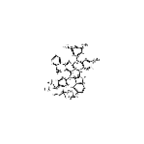 Cc1ccccc1-c1cc2c3c(c1)N(c1ccc4c(c1)C(C)(C)CCC4(C)C)c1c(sc4ccc(C(C)(C)C)cc14)B3c1ccc(C(C)(C)C)cc1N2c1cc(C(C)(C)C)cc(C(C)(C)C)c1